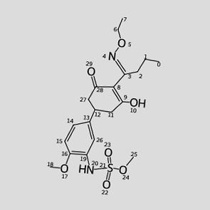 CCCC(=NOCC)C1=C(O)CC(c2ccc(OC)c(NS(=O)(=O)OC)c2)CC1=O